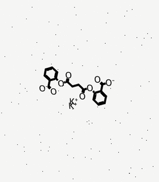 O=C(CCC(=O)Oc1ccccc1C(=O)[O-])Oc1ccccc1C(=O)[O-].[K+].[K+]